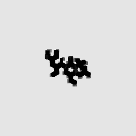 C=C/C(=C\C(=C/C)[C@@H](C)N(CC(CC)OCC(=C)C)C(=O)OC(C)(C)C)OC